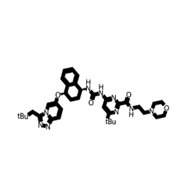 CC(C)(C)Cc1nnc2ccc(O[C@@H]3CC[C@H](NC(=O)Nc4cc(C(C)(C)C)nc(C(=O)NCCN5CCOCC5)n4)c4ccccc43)cn12